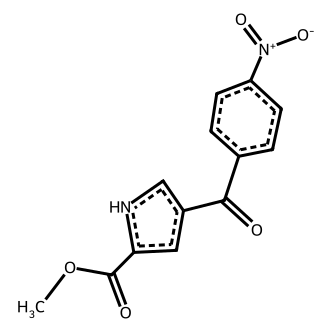 COC(=O)c1cc(C(=O)c2ccc([N+](=O)[O-])cc2)c[nH]1